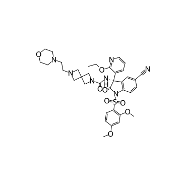 CCOc1ncccc1[C@]1(NC(=O)N2CC3(CN(CCN4CCOCC4)C3)C2)C(=O)N(S(=O)(=O)c2ccc(OC)cc2OC)c2ccc(C#N)cc21